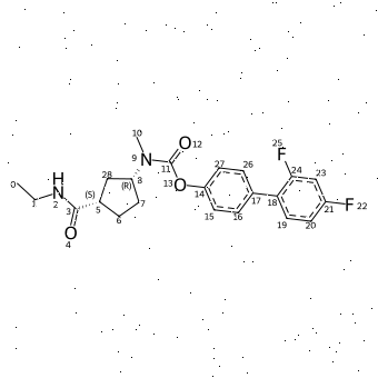 CCNC(=O)[C@H]1CC[C@@H](N(C)C(=O)Oc2ccc(-c3ccc(F)cc3F)cc2)C1